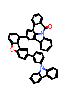 O=c1c2ccccc2c2cc(-c3cccc4oc5ccc(-c6cccc(-n7c8ccccc8c8ccccc87)c6)cc5c34)cc3c4ccccc4n1c23